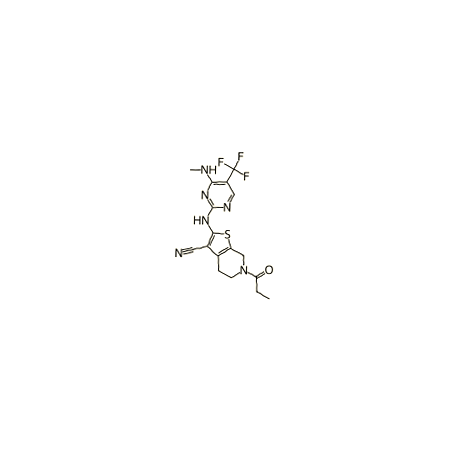 CCC(=O)N1CCc2c(sc(Nc3ncc(C(F)(F)F)c(NC)n3)c2C#N)C1